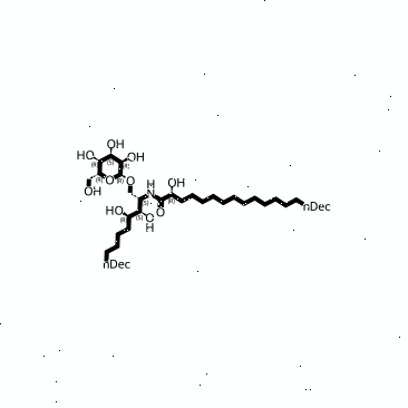 CCCCCCCCCCCCCCCCCCCCCC[C@@H](O)C(=O)N[C@@H](CO[C@@H]1O[C@H](CO)[C@H](O)[C@H](O)[C@H]1O)[C@H](O)[C@H](O)CCCCCCCCCCCCCC